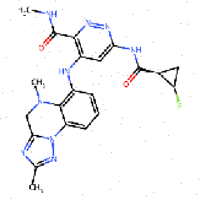 CNC(=O)c1nnc(NC(=O)[C@H]2C[C@H]2F)cc1Nc1cccc2c1N(C)Cc1nc(C)nn1-2